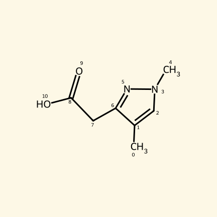 Cc1cn(C)nc1CC(=O)O